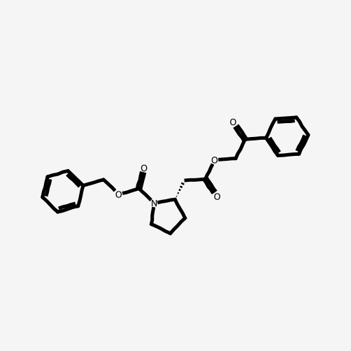 O=C(C[C@@H]1CCCN1C(=O)OCc1ccccc1)OCC(=O)c1ccccc1